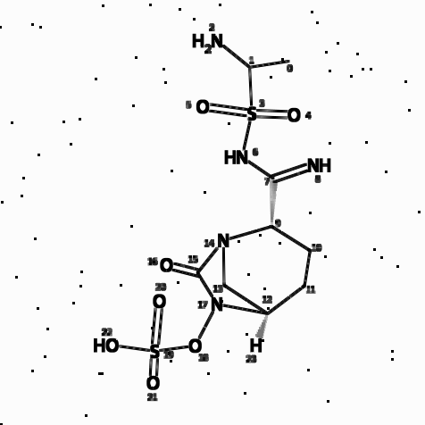 CC(N)S(=O)(=O)NC(=N)[C@@H]1CC[C@@H]2CN1C(=O)N2OS(=O)(=O)O